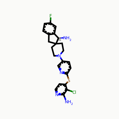 Nc1nccc(Sc2ccc(N3CCC4(CC3)Cc3ccc(F)cc3[C@H]4N)cn2)c1Cl